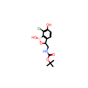 CC(C)(C)OC(=O)NCC1OB(O)c2c1ccc(O)c2Cl